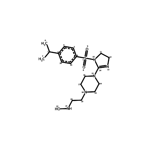 CC(C)c1ccc(S(=O)(=O)N2CCN=C2N2CCN(CCNO)CC2)cc1